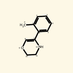 Cc1ccccc1C1=COCCN1